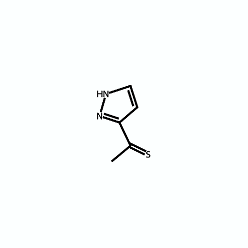 CC(=S)c1cc[nH]n1